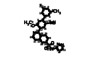 COc1cc(-c2cc(C)cc(F)c2)c(C#N)cc1-c1nccc2cc(S(=O)(=O)Nc3nncs3)ccc12